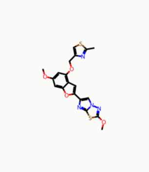 COc1cc(OCc2csc(C)n2)c2cc(-c3cn4nc(OC)sc4n3)oc2c1